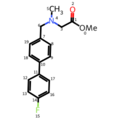 COC(=O)CN(C)Cc1ccc(-c2ccc(F)cc2)cc1